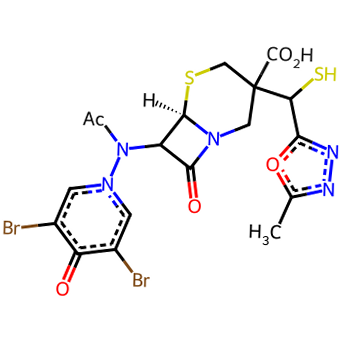 CC(=O)N(C1C(=O)N2CC(C(=O)O)(C(S)c3nnc(C)o3)CS[C@H]12)n1cc(Br)c(=O)c(Br)c1